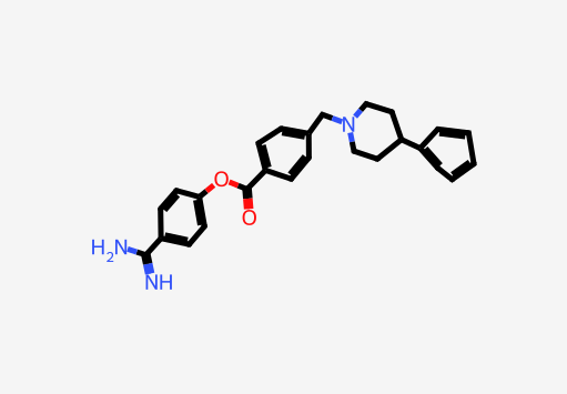 N=C(N)c1ccc(OC(=O)c2ccc(CN3CCC(c4ccccc4)CC3)cc2)cc1